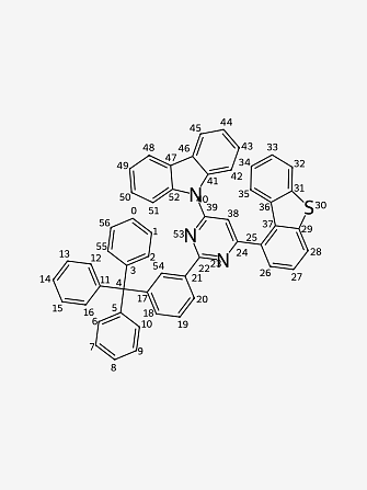 c1ccc(C(c2ccccc2)(c2ccccc2)c2cccc(-c3nc(-c4cccc5sc6ccccc6c45)cc(-n4c5ccccc5c5ccccc54)n3)c2)cc1